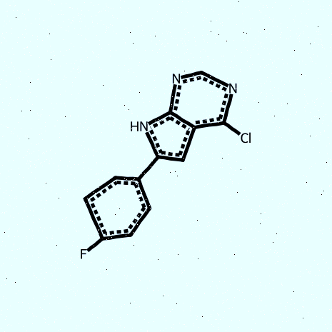 Fc1ccc(-c2cc3c(Cl)ncnc3[nH]2)cc1